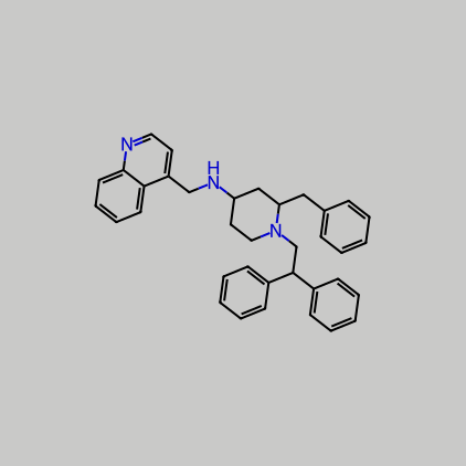 c1ccc(CC2CC(NCc3ccnc4ccccc34)CCN2CC(c2ccccc2)c2ccccc2)cc1